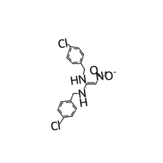 O=[N+]([O-])C=C(NCc1ccc(Cl)cc1)NCc1ccc(Cl)cc1